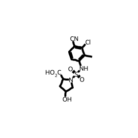 Cc1c(NS(=O)(=O)N2CC(O)CC2C(=O)O)ccc(C#N)c1Cl